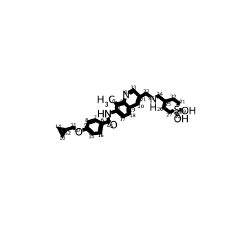 Cc1c(NC(=O)c2ccc(OCC3CC3)cc2)ccc2cc(CNCC3CCS(O)(O)CC3)cnc12